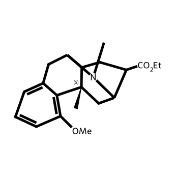 CCOC(=O)C1CC2C3Cc4cccc(OC)c4[C@@]2(C)CC1N3C